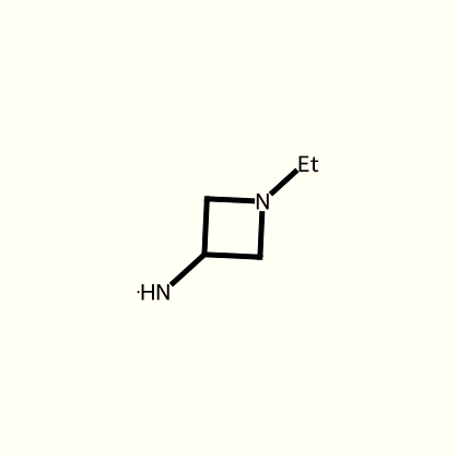 CCN1CC([NH])C1